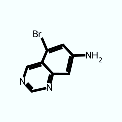 Nc1cc(Br)c2cncnc2c1